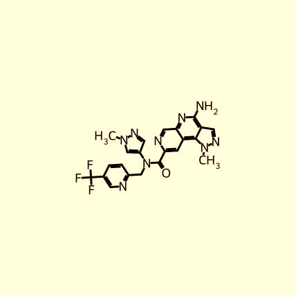 Cn1cc(N(Cc2ccc(C(F)(F)F)cn2)C(=O)c2cc3c(cn2)nc(N)c2cnn(C)c23)cn1